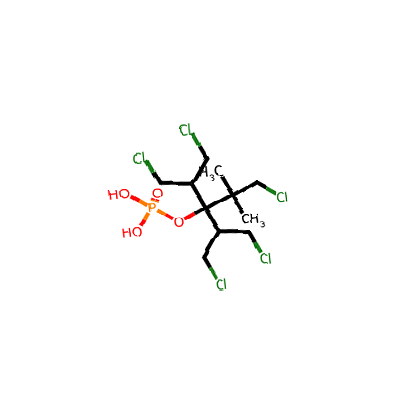 CC(C)(CCl)C(OP(=O)(O)O)(C(CCl)CCl)C(CCl)CCl